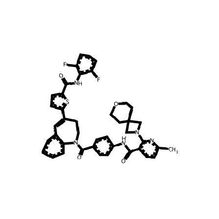 Cc1ccc(C(=O)Nc2ccc(C(=O)N3CCC(c4ccc(C(=O)Nc5c(F)cccc5F)s4)=Cc4ccccc43)cc2)c(N2CC3(CCOCC3)C2)n1